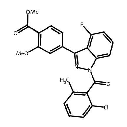 COC(=O)c1ccc(-c2nn(C(=O)c3c(C)cccc3Cl)c3cccc(F)c23)cc1OC